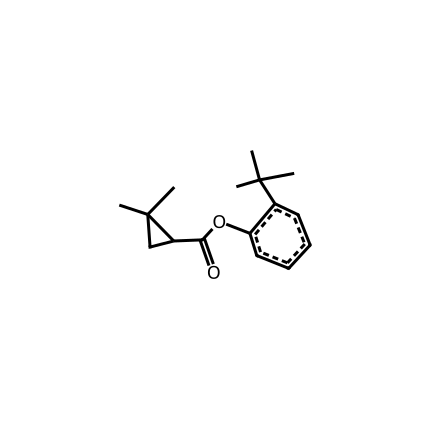 CC(C)(C)c1ccccc1OC(=O)C1CC1(C)C